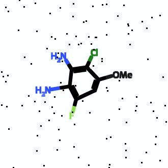 COc1cc(F)c(N)c(N)c1Cl